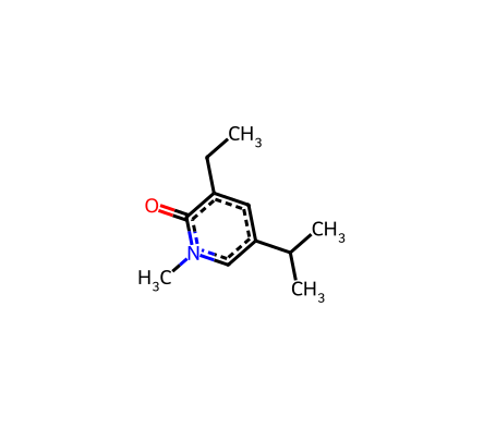 CCc1cc(C(C)C)cn(C)c1=O